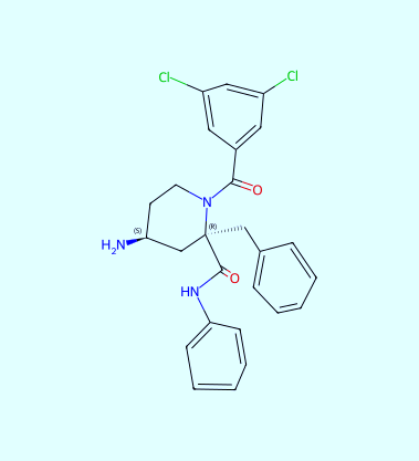 N[C@H]1CCN(C(=O)c2cc(Cl)cc(Cl)c2)[C@@](Cc2ccccc2)(C(=O)Nc2ccccc2)C1